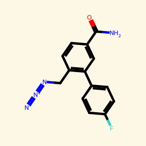 [N-]=[N+]=NCc1ccc(C(N)=O)cc1-c1ccc(F)cc1